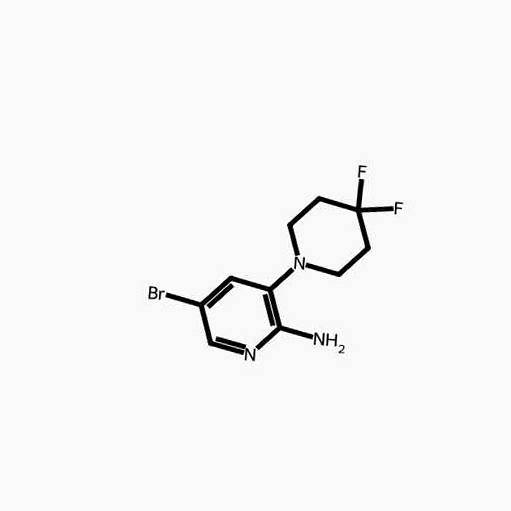 Nc1ncc(Br)cc1N1CCC(F)(F)CC1